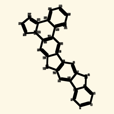 c1ccc2c(c1)sc1cc3c(cc12)sc1cc2c(cc13)c1ncccc1c1nccn21